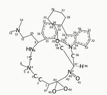 CC1CC[N+](C)(C)SNC(CCN(C)C)c2cccc3c2-c2c(C4CCCCC4)c4ccccc4n2C[C@H](CO3)[N+](=O)CC12OO2